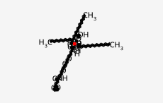 CCCCCCCCCCCCCCCC(=O)N[C@@H](CSC[C@H](CC(CCCCCCCCCC)C(=O)O)C(CCCCCCCCCC)C(=O)O)C(=O)NCCCOCCOCCOCCCNC(=O)CCC1OCCO1